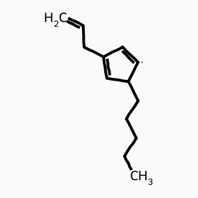 C=CCC1=CC(CCCCC)[C]=C1